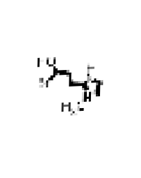 C[n+]1cc[nH]c1CCC(O)Br